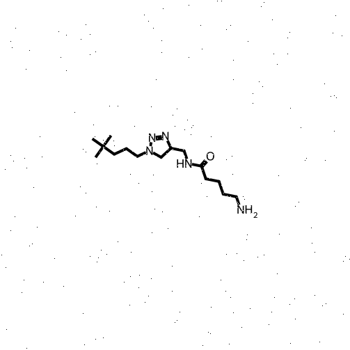 CC(C)(C)CCCN1CC(CNC(=O)CCCCN)N=N1